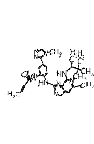 CC#CC(=O)Nc1cc(-c2nncn2C)ccc1Nc1ncc2cc(C)nc(N[C@@H](C)C(C)(C)C)c2n1